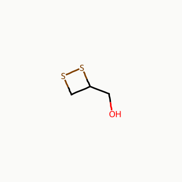 OCC1CSS1